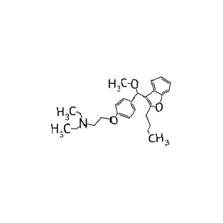 CCCCc1oc2ccccc2c1C(OC)c1ccc(OCCN(CC)CC)cc1